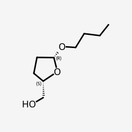 CCCCO[C@H]1CC[C@@H](CO)O1